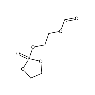 O=COCCOP1(=O)OCCO1